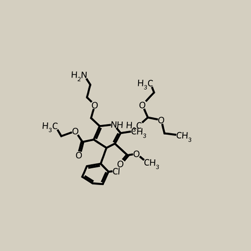 CCOC(=O)C1=C(COCCN)NC(C)=C(C(=O)OC)C1c1ccccc1Cl.CCOC(C)OCC